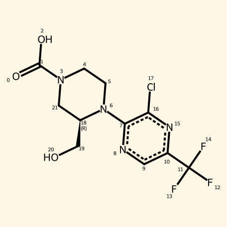 O=C(O)N1CCN(c2ncc(C(F)(F)F)nc2Cl)[C@@H](CO)C1